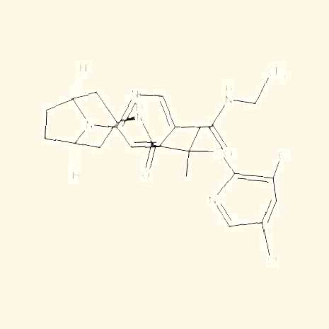 CC(C)(Oc1ncc(Cl)cc1Cl)C(=O)N[C@H]1C[C@H]2CC[C@@H](C1)N2c1ccc(C(=O)NCC(F)(F)F)cn1